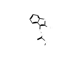 CCCNC(=S)N=Nc1c(O)[nH]c2ccccc12